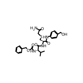 CC(C)[C@H](NC(=O)OCc1ccccc1)C(=O)N[C@@H](CSCC(N)=O)C(=O)Nc1ccc(CO)cc1